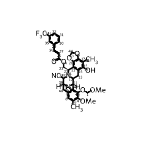 COCOc1c(OC)c(C)cc2c1[C@H]1C3Cc4c(O)c(C)c5c(c4[C@H](COC(=O)/C=C/c4cccc(C(F)(F)F)c4)N3C(C#N)[C@@H](C2)N1C)OCO5